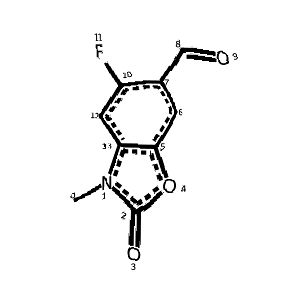 Cn1c(=O)oc2cc(C=O)c(F)cc21